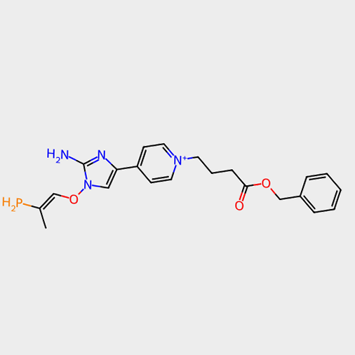 C/C(P)=C\On1cc(-c2cc[n+](CCCC(=O)OCc3ccccc3)cc2)nc1N